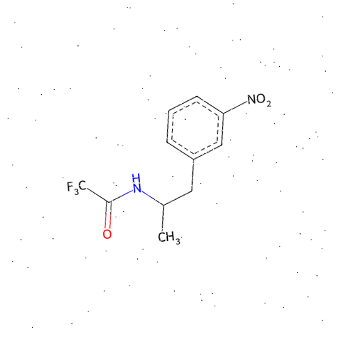 CC(Cc1cccc([N+](=O)[O-])c1)NC(=O)C(F)(F)F